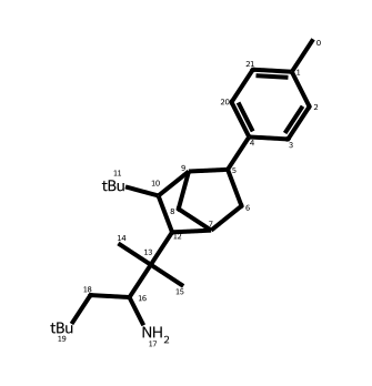 Cc1ccc(C2CC3CC2C(C(C)(C)C)C3C(C)(C)C(N)CC(C)(C)C)cc1